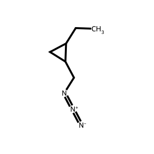 CCC1CC1CN=[N+]=[N-]